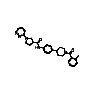 Cc1ccccc1C(=O)N1CCC(c2ccc(NC(=O)[C@H]3CCN(c4cccnn4)C3)cc2)CC1